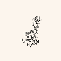 Cc1cnn2cc(-c3ccc(N4CCN(S(C)(=O)=O)CC4)cc3)nc(OC(C)[C@H]3CNC(=O)C3)c12